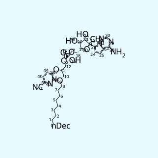 CCCCCCCCCCCCCCCCCCOC[C@H](COP(=O)(O)OC[C@H]1O[C@@](C)(c2ccc3c(N)ncnn23)[C@H](O)[C@@H]1O)Oc1ccc(C#N)nn1